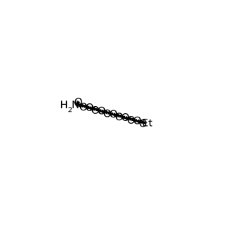 CCOCCOCCOCCOCCOCCOCCOCCOCCOCCOCCOCCC(N)=O